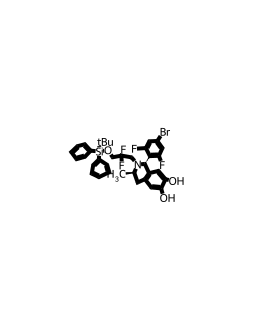 C[C@@H]1Cc2cc(O)c(O)cc2[C@@H](c2c(F)cc(Br)cc2F)N1CC(F)(F)CO[Si](c1ccccc1)(c1ccccc1)C(C)(C)C